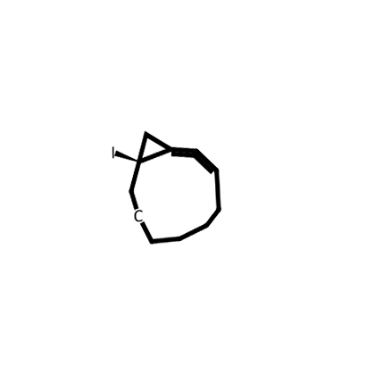 I[C@]12CCCCCCC=C=C1C2